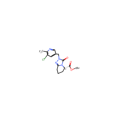 CC(C)(C)OC(=O)[C@@H]1CCCc2nn(Cc3cnc(C(F)(F)F)c(Cl)c3)c(=O)n21